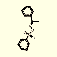 C/C(=N\OS(=O)(=O)c1ccccc1)c1ccccc1